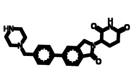 O=C1CCC(N2Cc3cc(-c4ccc(CN5CCNCC5)cc4)ccc3C2=O)C(=O)N1